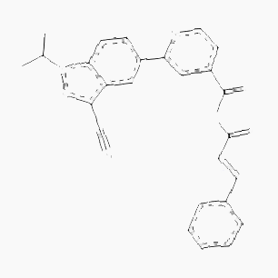 CC(C)n1nc(C#N)c2cc(-c3cc(C(=O)OC(=O)/C=C/c4ccccc4)ccn3)ccc21